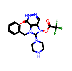 O=C(ON1c2cn[nH]c(=O)c2N(Cc2ccccc2)C1N1CCNCC1)C(F)(F)F